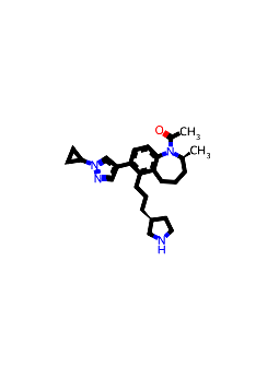 CC(=O)N1c2ccc(-c3cnn(C4CC4)c3)c(CCC[C@H]3CCNC3)c2CCC[C@@H]1C